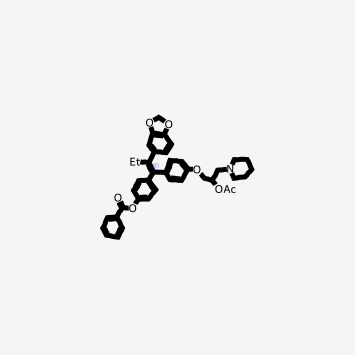 CC/C(=C(/c1ccc(OCC(CN2CCCCC2)OC(C)=O)cc1)c1ccc(OC(=O)c2ccccc2)cc1)c1ccc2c(c1)OCO2